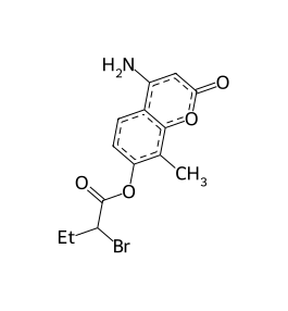 CCC(Br)C(=O)Oc1ccc2c(N)cc(=O)oc2c1C